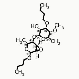 CCCCO[C@H]1O[C@H](C)[C@@H](O[C@@H]2O[C@H](C)[C@@H](OC)[C@H](OCCCC)[C@H]2O)[C@H]2O[C@@H]12